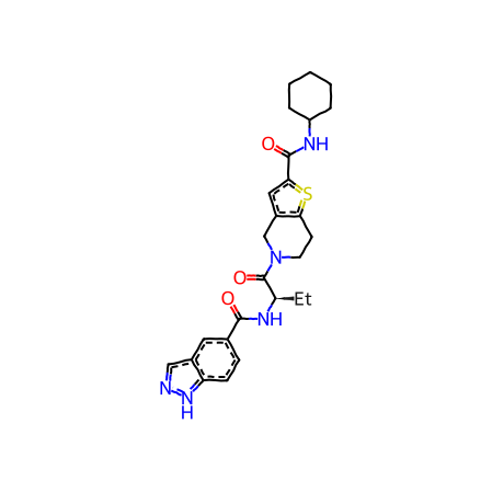 CC[C@@H](NC(=O)c1ccc2[nH]ncc2c1)C(=O)N1CCc2sc(C(=O)NC3CCCCC3)cc2C1